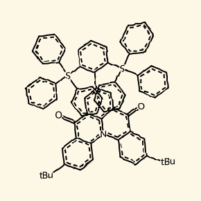 CC(C)(C)c1ccc2c(c1)c(=O)c1cc(-c3c(S(c4ccccc4)(c4ccccc4)c4ccccc4)cccc3S(c3ccccc3)(c3ccccc3)c3ccccc3)cc3c(=O)c4cc(C(C)(C)C)ccc4n2c13